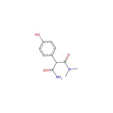 CN(C)C(=O)C(C(N)=O)c1ccc(O)cc1